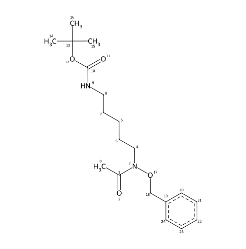 CC(=O)N(CCCCCNC(=O)OC(C)(C)C)OCc1ccccc1